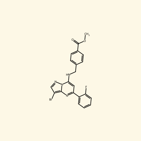 COC(=O)c1ccc(CNc2cc(-c3ccccc3F)nc3c(Br)cnn23)cc1